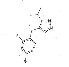 CC(C)c1[nH]ncc1Cc1ccc(Br)cc1F